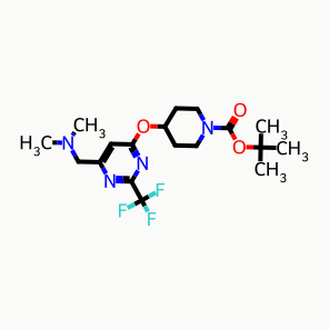 CN(C)Cc1cc(OC2CCN(C(=O)OC(C)(C)C)CC2)nc(C(F)(F)F)n1